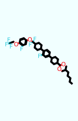 CCCCCC1COC(C2CCC(c3ccc(C4CCC(C(F)(F)Oc5ccc(OCC(F)(F)F)c(F)c5)CC4)c(F)c3)CC2)OC1